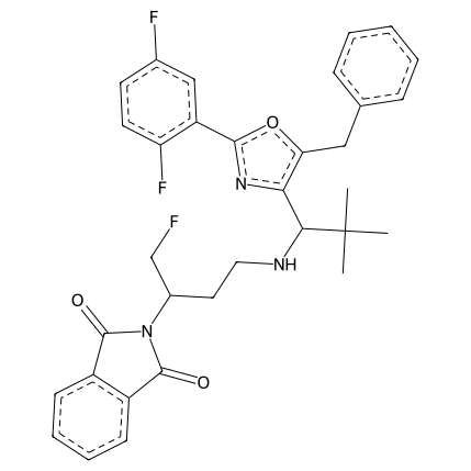 CC(C)(C)C(NCCC(CF)N1C(=O)c2ccccc2C1=O)c1nc(-c2cc(F)ccc2F)oc1Cc1ccccc1